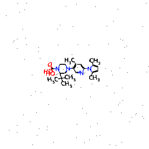 Cc1cc(-n2c(C)ccc2C)ncc1N1CCN(C(=O)O)[C@](CO)(C(C)(C)C)C1